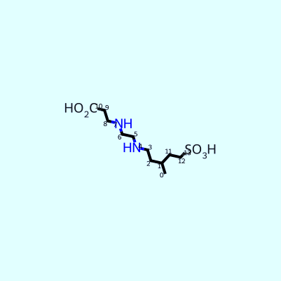 CC(CCNCCNCCC(=O)O)CCS(=O)(=O)O